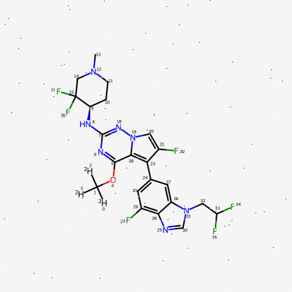 [2H]C([2H])([2H])Oc1nc(N[C@@H]2CCN(C)CC2(F)F)nn2cc(F)c(-c3cc(F)c4ncn(CC(F)F)c4c3)c12